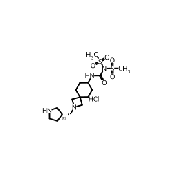 CS(=O)(=O)N(C(=O)NC1CCC2(CC1)CN(C[C@@H]1CCNC1)C2)S(C)(=O)=O.Cl